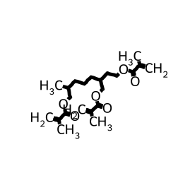 C=C(C)C(=O)OCCC(CCCC(C)COC(=O)C(=C)C)COC(=O)C(=C)C